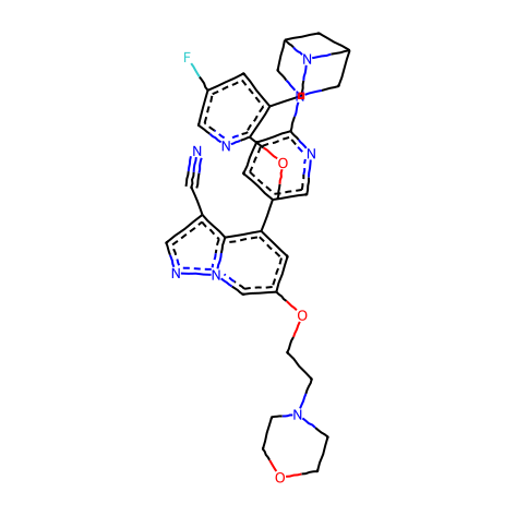 COc1ncc(F)cc1CN1C2CC1CN(c1ccc(-c3cc(OCCN4CCOCC4)cn4ncc(C#N)c34)cn1)C2